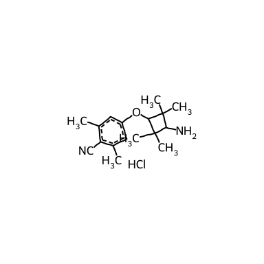 Cc1cc(OC2C(C)(C)C(N)C2(C)C)cc(C)c1C#N.Cl